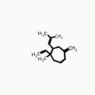 C=CC1(C)CCCC(=C)CC1C=C(C)C